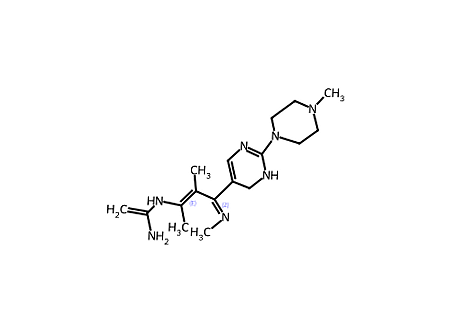 C=C(N)N/C(C)=C(C)/C(=N\C)C1=CN=C(N2CCN(C)CC2)NC1